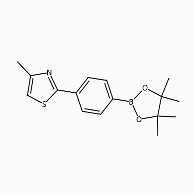 Cc1csc(-c2ccc(B3OC(C)(C)C(C)(C)O3)cc2)n1